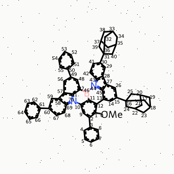 COc1c(-c2ccccc2)cc2c3c1-c1cc(C45CC6CC(CC(C6)C4)C5)cc4c5cc(C67CC8CC(CC(C8)C6)C7)ccc5n(c14)B3c1cc(-c3ccccc3)cc3c4cc(-c5ccccc5)ccc4n-2c13